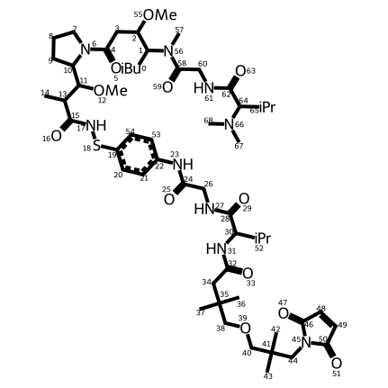 CCC(C)C(C(CC(=O)N1CCCC1C(OC)C(C)C(=O)NSc1ccc(NC(=O)CNC(=O)C(NC(=O)CC(C)(C)COCC(C)(C)CN2C(=O)C=CC2=O)C(C)C)cc1)OC)N(C)C(=O)CNC(=O)C(C(C)C)N(C)C